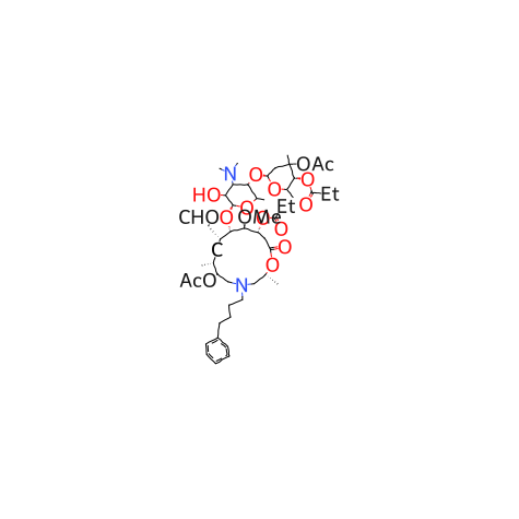 CCC(=O)O[C@@H]1CC(=O)O[C@H](C)CN(CCCCc2ccccc2)C[C@H](OC(C)=O)[C@H](C)C[C@H](CC=O)[C@H](O[C@@H]2OC(C)[C@@H](O[C@H]3CC(C)(OC(C)=O)[C@@H](OC(=O)CC)C(C)O3)C(N(C)C)C2O)[C@H]1OC